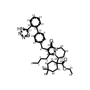 CCCCc1c(Cc2ccc(-c3ccccc3-c3nnn[nH]3)cc2)c(=O)n2n1C(C1(C(=O)OCC)CCC(C)(C)CC1)CCC2